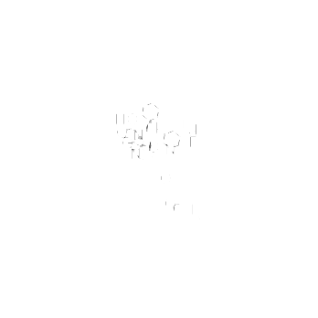 COCCOC1CCC(NS(=O)(=O)N(Cc2ccccc2)C(=O)O)C(Oc2ncc(C(F)(F)F)cc2Cl)C1